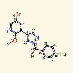 COc1ncc(Br)cc1-c1cnn([C@H](C)c2ccc(F)cc2)c1